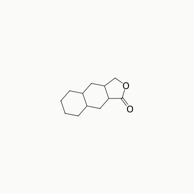 O=C1OCC2CC3CCCCC3CC12